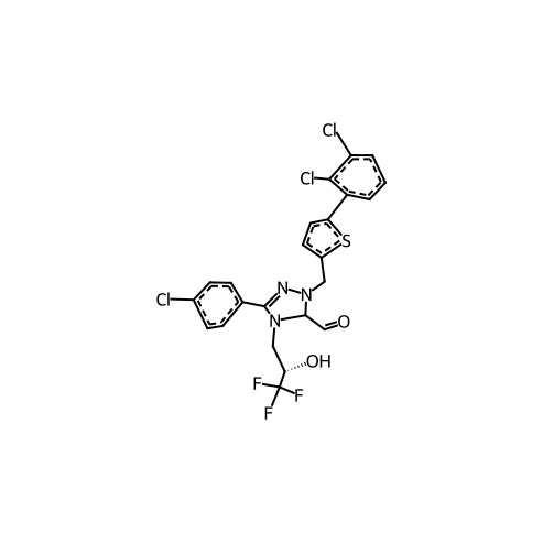 O=CC1N(Cc2ccc(-c3cccc(Cl)c3Cl)s2)N=C(c2ccc(Cl)cc2)N1C[C@H](O)C(F)(F)F